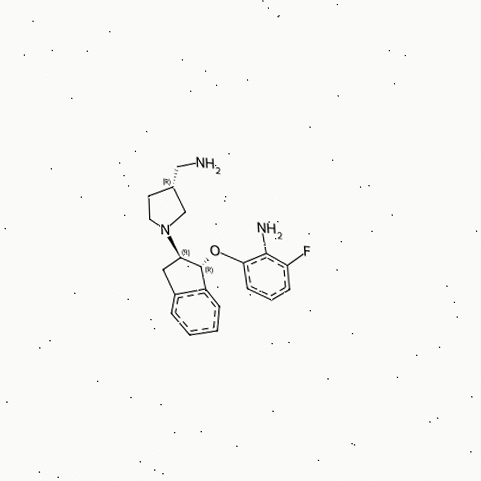 NC[C@H]1CCN([C@@H]2Cc3ccccc3[C@H]2Oc2cccc(F)c2N)C1